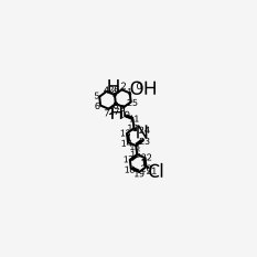 O[C@H]1C[C@@H]2CCCC[C@H]2[C@H](/C=C/c2ccc(-c3cccc(Cl)c3)cn2)C1